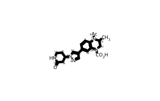 CC(=O)N1c2ccc(-c3cnn(C4CCNC(=O)C4)c3)cc2N(C(=O)O)CC1C